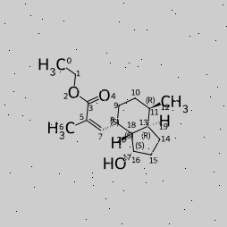 CCOC(=O)C(C)=C[C@@H]1CC[C@@H](C)[C@H]2CC[C@H](O)[C@@H]21